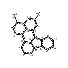 Clc1cc2c3c(n1)c(Cl)ccc3c1cccc3c4ccccc4n2c13